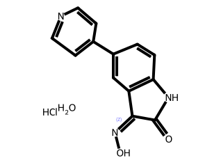 Cl.O.O=C1Nc2ccc(-c3ccncc3)cc2/C1=N/O